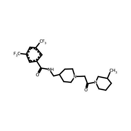 CC1CCCN(C(=O)CN2CCC(CNC(=O)c3cc(C(F)(F)F)cc(C(F)(F)F)c3)CC2)C1